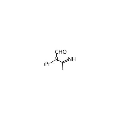 CC(=N)N(C=O)C(C)C